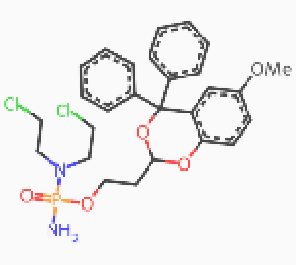 COc1ccc2c(c1)C(c1ccccc1)(c1ccccc1)OC(CCOP(N)(=O)N(CCCl)CCCl)O2